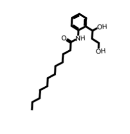 CCCCCCCCCCCC(=O)Nc1ccccc1C(O)CCO